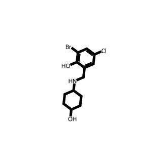 Oc1c(Br)cc(Cl)cc1CNC1CCC(O)CC1